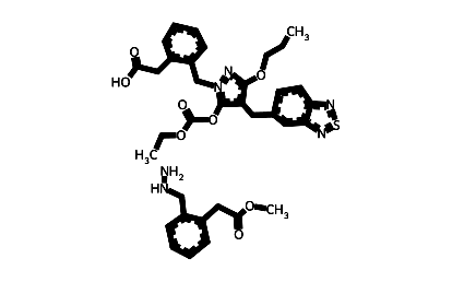 CCCOc1nn(Cc2ccccc2CC(=O)O)c(OC(=O)OCC)c1Cc1ccc2nsnc2c1.COC(=O)Cc1ccccc1CNN